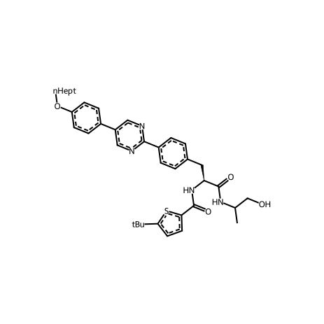 CCCCCCCOc1ccc(-c2cnc(-c3ccc(C[C@H](NC(=O)c4ccc(C(C)(C)C)s4)C(=O)NC(C)CO)cc3)nc2)cc1